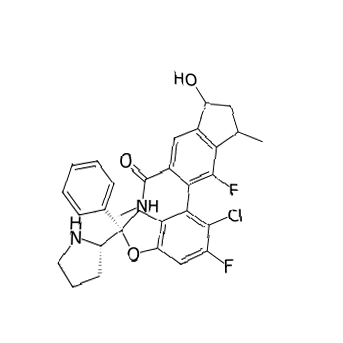 CNC(=O)c1cc2c(c(F)c1-c1c(Cl)c(F)cc3c1C[C@](c1ccccc1)([C@@H]1CCCN1)O3)C(C)CC2O